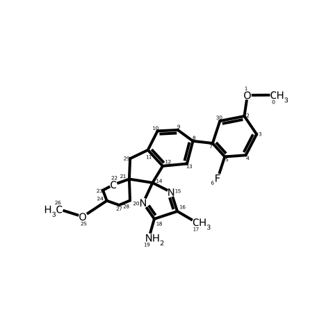 COc1ccc(F)c(-c2ccc3c(c2)C2(N=C(C)C(N)=N2)C2(CCC(OC)CC2)C3)c1